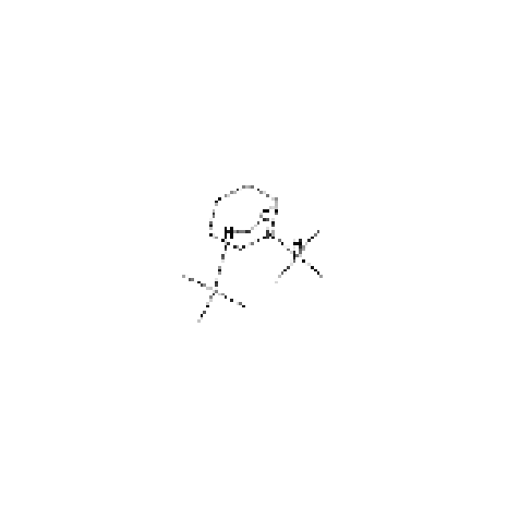 CC(C)(C)N1CCC2CCC1CN2[PH](C)(C)C